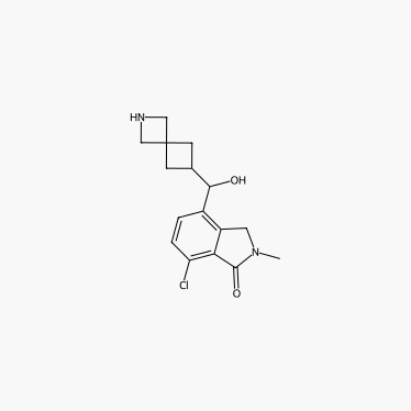 CN1Cc2c(C(O)C3CC4(CNC4)C3)ccc(Cl)c2C1=O